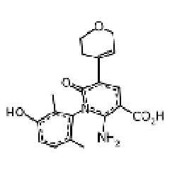 Cc1ccc(O)c(C)c1-n1c(N)c(C(=O)O)cc(C2=CCOCC2)c1=O